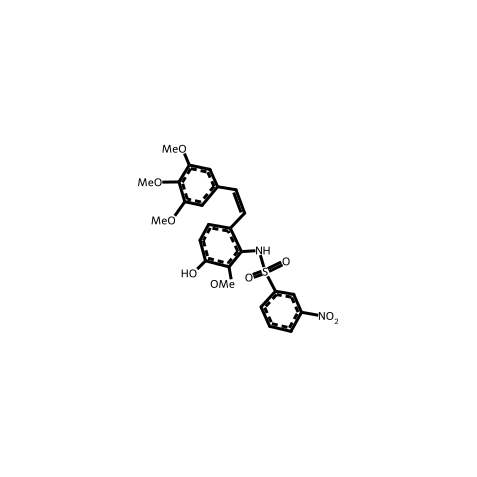 COc1cc(/C=C\c2ccc(O)c(OC)c2NS(=O)(=O)c2cccc([N+](=O)[O-])c2)cc(OC)c1OC